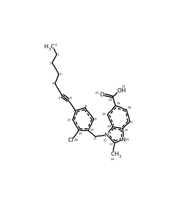 CCCCCC#Cc1ccc(Cn2c(C)nc3ccc(C(=O)O)cc32)c(Cl)c1